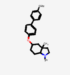 COc1ccc(-c2ccc(OC3CCC4N(C(C)C)CCC4(C)C3)cc2)cc1